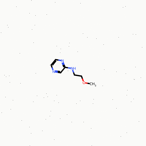 COCCNc1cn[c]cn1